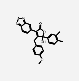 COc1ccc(CC2=C(c3ccc4nsnc4c3)C(=O)OC2(O)c2ccc(C)c(C)c2)cc1